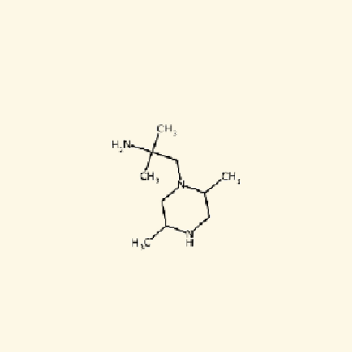 CC1CN(CC(C)(C)N)C(C)CN1